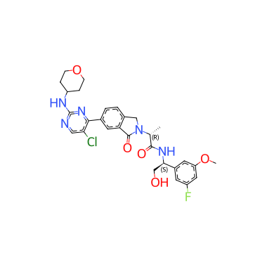 COc1cc(F)cc([C@@H](CO)NC(=O)[C@@H](C)N2Cc3ccc(-c4nc(NC5CCOCC5)ncc4Cl)cc3C2=O)c1